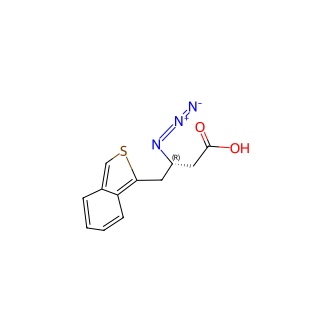 [N-]=[N+]=N[C@H](CC(=O)O)Cc1scc2ccccc12